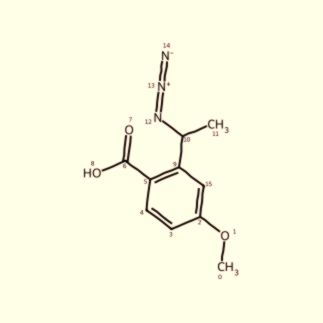 COc1ccc(C(=O)O)c(C(C)N=[N+]=[N-])c1